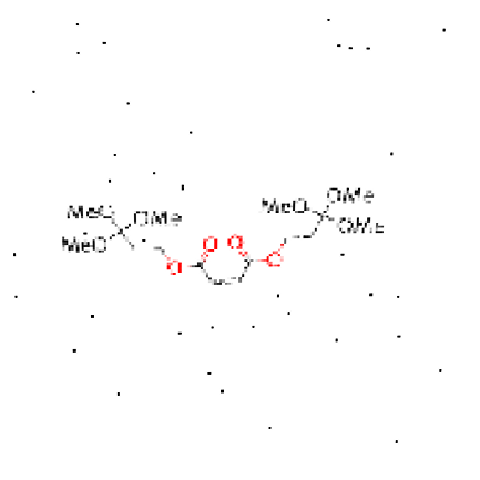 COC(CCOC(=O)/C=C\C(=O)OCCC(OC)(OC)OC)(OC)OC